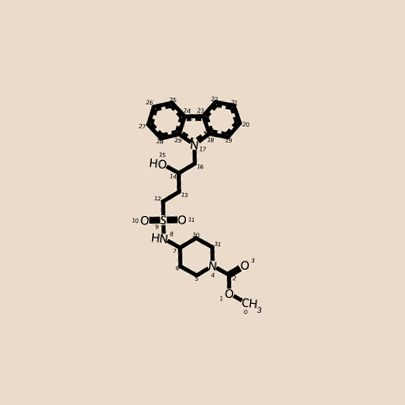 COC(=O)N1CCC(NS(=O)(=O)CCC(O)Cn2c3ccccc3c3ccccc32)CC1